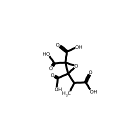 CC(C(=O)O)C1(C(=O)O)OC1(C(=O)O)C(=O)O